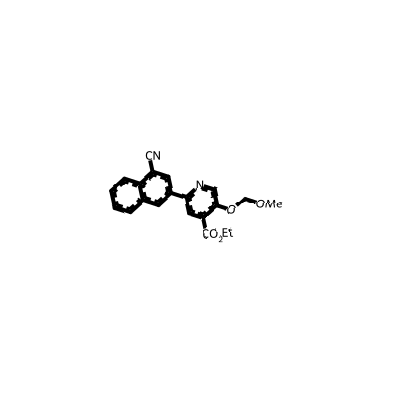 CCOC(=O)c1cc(-c2cc(C#N)c3ccccc3c2)ncc1OCOC